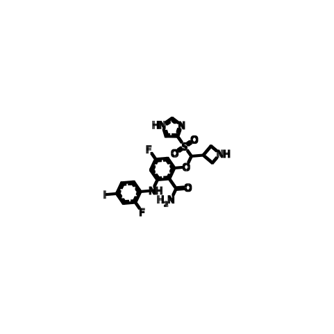 NC(=O)c1c(Nc2ccc(I)cc2F)cc(F)cc1OC(C1CNC1)S(=O)(=O)c1c[nH]cn1